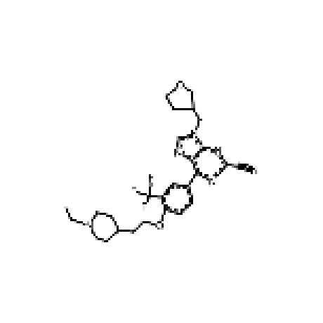 CCN1CCC(CCOc2ccc(-c3nc(C#N)nc4c3ncn4CC3CCOC3)cc2C(F)(F)F)CC1